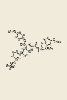 COC[C@H](Cc1ccc(OC(C)(C)C)cc1)NC(=O)c1cc(C(=O)Oc2ccc(OC)cc2)c2cc(-c3cccc(COS(C)(=O)=O)c3)ccc2n1